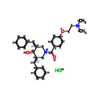 CN(C)CCOc1ccc(C(=O)N2C/C(=C/c3ccccc3)C(=O)/C(=C/c3ccccc3)C2)cc1.Cl